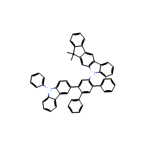 CC1(C)c2ccccc2-c2cc3c4ccccc4n(-c4cc(-c5ccc6c(c5)c5ccccc5n6-c5ccccc5)c(-c5ccccc5)cc4-c4ccccc4)c3cc21